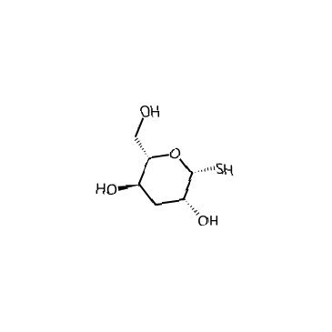 OC[C@@H]1O[C@H](S)[C@H](O)C[C@H]1O